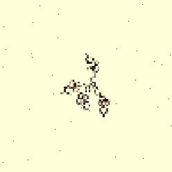 Cc1ccc(S(=O)(=O)OCCOCC(COCCOS(=O)(=O)c2ccc(C)cc2)(COCCOS(=O)(=O)c2ccc(C)cc2)COCCOS(=O)(=O)c2ccc(C)cc2)cc1